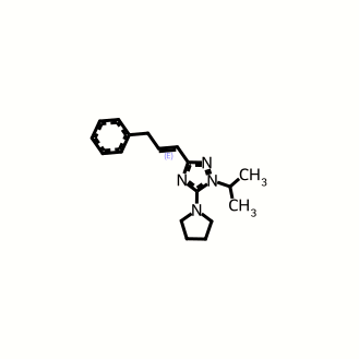 CC(C)n1nc(/C=C/Cc2ccccc2)nc1N1CCCC1